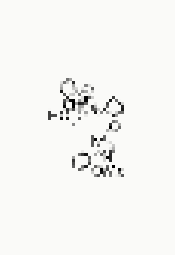 COc1ccccc1-c1nccc(COc2ccccc2C[C@H](OS(=O)(=O)c2ccccc2C)C(=O)O)n1